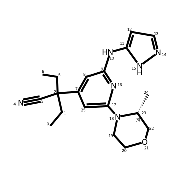 CCC(C#N)(CC)c1cc(Nc2ccn[nH]2)nc(N2CCOC[C@H]2C)c1